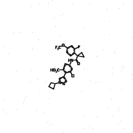 O=C(O)c1cc(NC(=O)C2(c3ccc(OC(F)(F)F)cc3F)CC2)cc(Cl)c1-c1cnn(C2CCC2)c1